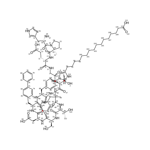 C[C@@H](O)[C@H](NC(=O)CNC(=O)[C@H](CCC(=O)O)NC(=O)[C@]1(C)CCCN1C(=O)[C@@H](N)Cc1c[nH]cn1)C(=O)NC(C)(Cc1ccccc1F)C(=O)N[C@H](C(=O)N[C@@H](CO)C(=O)N[C@@H](CC(=O)O)C(=O)N[C@@H](Cc1ccc(-c2ccccc2)cc1)C(=O)N[C@@H](Cc1ccc(N2C=C(CCCCCCCCCCCCCCCC(=O)O)NN2)cc1)C(N)=O)[C@@H](C)O